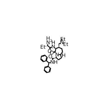 CC[C@H](N)C(=O)N[C@@H]1C(=O)N2[C@@H](CC[C@@H]1CN(CC)CC)CC[C@H]2C(=O)NC(c1ccccc1)c1ccccc1